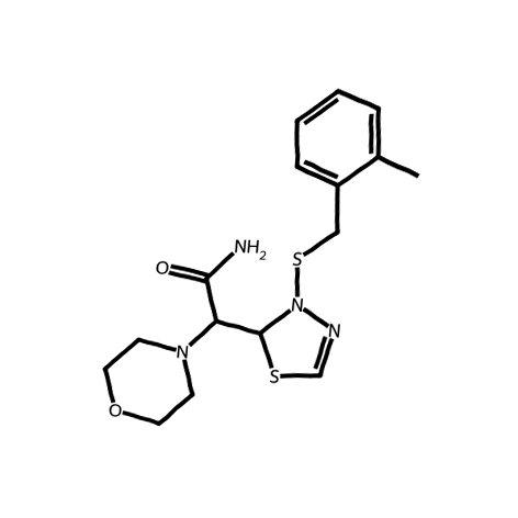 Cc1ccccc1CSN1N=CSC1C(C(N)=O)N1CCOCC1